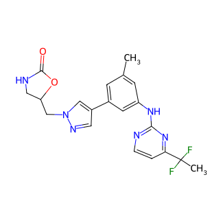 Cc1cc(Nc2nccc(C(C)(F)F)n2)cc(-c2cnn(CC3CNC(=O)O3)c2)c1